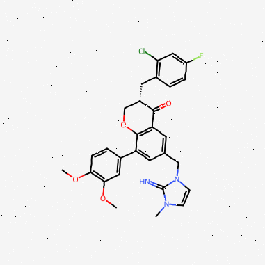 COc1ccc(-c2cc(Cn3ccn(C)c3=N)cc3c2OC[C@H](Cc2ccc(F)cc2Cl)C3=O)cc1OC